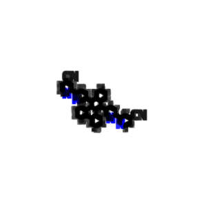 N#Cc1ccnc(-c2ccc(-c3c4ccccc4c(-c4ccc(-c5cc(C#N)ccn5)nc4)c4c5ccccc5c5ccccc5c34)cn2)c1